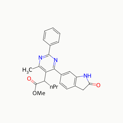 CCCC(C(=O)OC)c1c(C)nc(-c2ccccc2)nc1-c1ccc2c(c1)NC(=O)C2